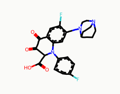 O=C1C(=O)C(C(=O)O)N(c2ccc(F)cc2)c2cc(N3CCN4CCC3CC4)c(F)cc21